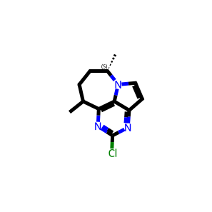 CC1CC[C@H](C)n2ccc3nc(Cl)nc1c32